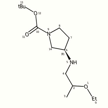 CCOC(C)CN[C@@H]1CCN(C(=O)OC(C)(C)C)C1